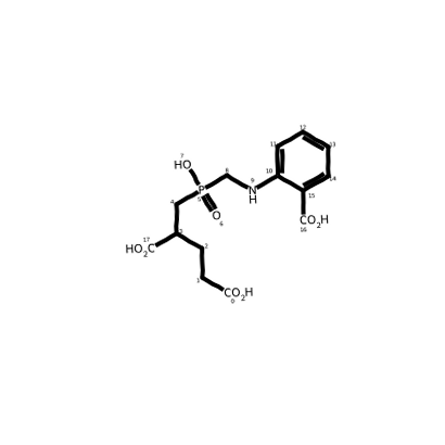 O=C(O)CCC(CP(=O)(O)CNc1ccccc1C(=O)O)C(=O)O